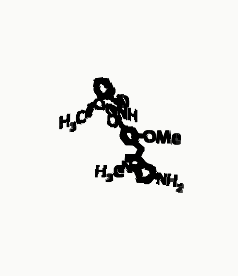 C/C=C/Oc1ccccc1S(=O)(=O)NC(=O)c1ccc(Cc2cn(C)c3ccc(N)cc23)c(OC)c1